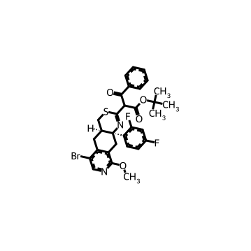 COc1ncc(Br)c2c1C[C@]1(c3ccc(F)cc3F)N=C(C(C(=O)OC(C)(C)C)C(=O)c3ccccc3)SC[C@@H]1C2